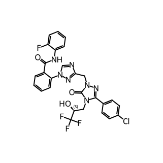 O=C(Nc1ccccc1F)c1ccccc1-n1cnc(Cn2nc(-c3ccc(Cl)cc3)n(C[C@H](O)C(F)(F)F)c2=O)n1